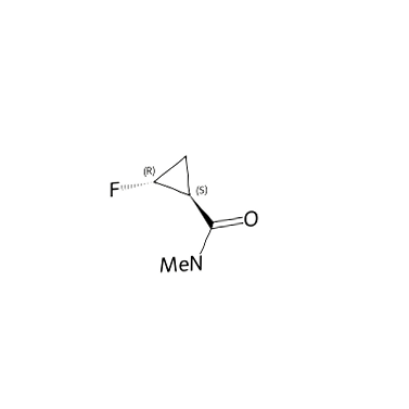 CNC(=O)[C@@H]1C[C@H]1F